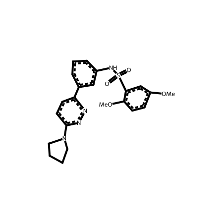 COc1ccc(OC)c(S(=O)(=O)Nc2cccc(-c3ccc(N4CCCC4)nn3)c2)c1